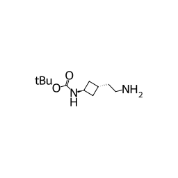 CC(C)(C)OC(=O)N[C@H]1C[C@H](CCN)C1